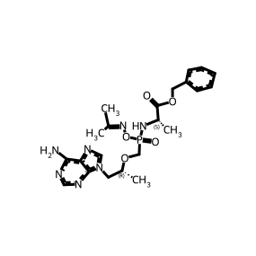 CC(C)=NOP(=O)(CO[C@H](C)Cn1cnc2c(N)ncnc21)N[C@@H](C)C(=O)OCc1ccccc1